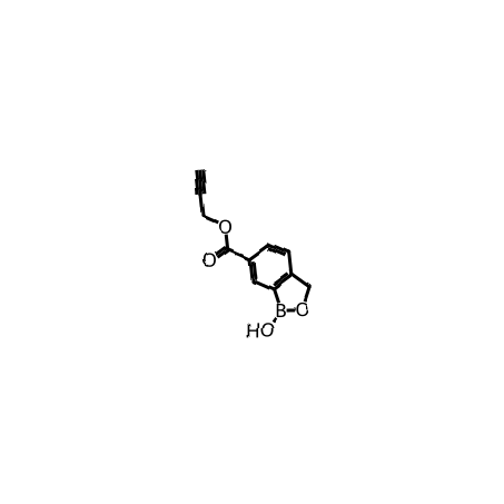 C#CCOC(=O)c1ccc2c(c1)B(O)OC2